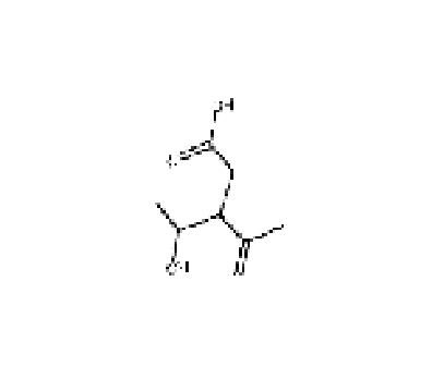 C=C(C)C(CC(=O)O)C(C)O